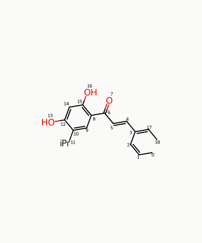 C\C=C/C(/C=C/C(=O)c1cc(C(C)C)c(O)cc1O)=C\C